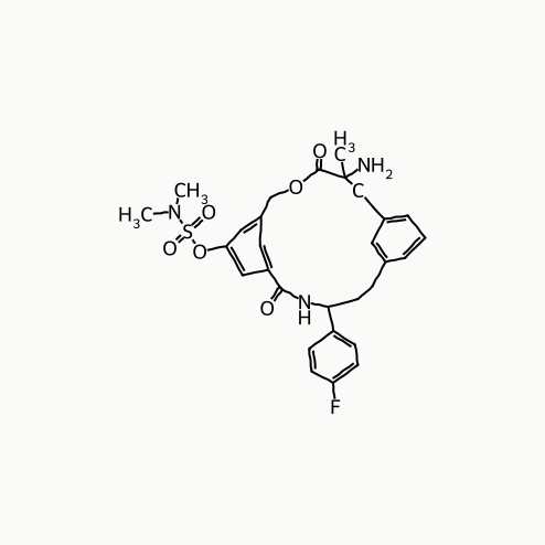 CN(C)S(=O)(=O)Oc1cc2cc(c1)C(=O)NC(c1ccc(F)cc1)CCc1cccc(c1)CC(C)(N)C(=O)OC2